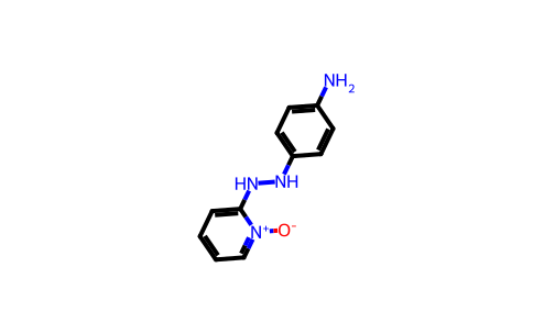 Nc1ccc(NNc2cccc[n+]2[O-])cc1